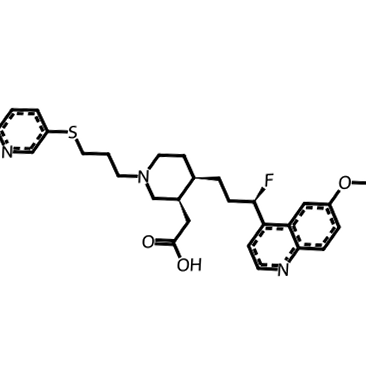 COc1ccc2nccc([C@H](F)CC[C@@H]3CCN(CCCSc4cccnc4)C[C@@H]3CC(=O)O)c2c1